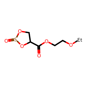 CCOCCOC(=O)C1COS(=O)O1